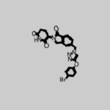 O=C1CCC(N2Cc3cc(Cn4cc(Oc5ccc(Br)cc5)nn4)ccc3C2=O)C(=O)N1